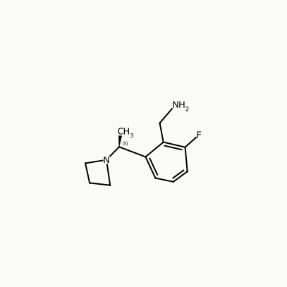 C[C@@H](c1cccc(F)c1CN)N1CCC1